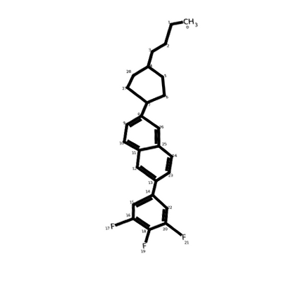 CCCCC1CCC(c2ccc3cc(-c4cc(F)c(F)c(F)c4)ccc3c2)CC1